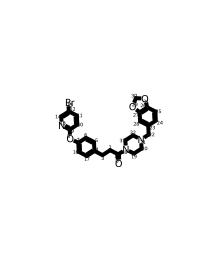 O=C(CCc1ccc(Oc2ccc(Br)cn2)cc1)N1CCN(Cc2ccc3c(c2)OCO3)CC1